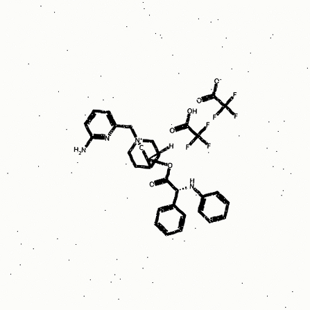 Nc1cccc(C[N+]23CCC(CC2)[C@@H](OC(=O)[C@H](Nc2ccccc2)c2ccccc2)C3)n1.O=C(O)C(F)(F)F.O=C([O-])C(F)(F)F